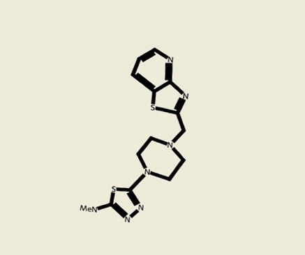 CNc1nnc(N2CCN(Cc3nc4ncccc4s3)CC2)s1